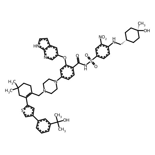 CC1(C)CCC(CN2CCN(c3ccc(C(=O)NS(=O)(=O)c4ccc(NC[C@H]5CC[C@](C)(O)CC5)c([N+](=O)[O-])c4)c(Oc4cnc5[nH]ccc5c4)c3)CC2)=C(c2cc(-c3cccc(C(C)(C)O)c3)cs2)C1